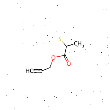 C#CCOC(=O)C(C)[S]